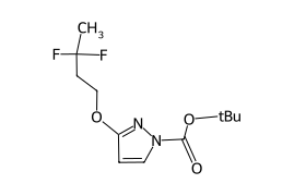 CC(F)(F)CCOc1ccn(C(=O)OC(C)(C)C)n1